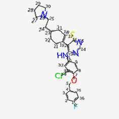 Fc1ccc(COc2ccc(Nc3ncnc4sc5c(c34)CCC(CCN3CCCC3)C5)cc2Cl)cc1